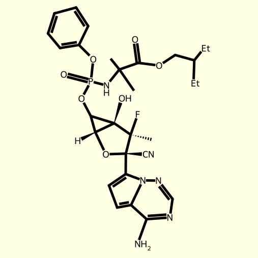 CCC(CC)COC(=O)C(C)(C)NP(=O)(Oc1ccccc1)OC1[C@H]2O[C@@](C#N)(c3ccc4c(N)ncnn34)[C@](C)(F)[C@@]12O